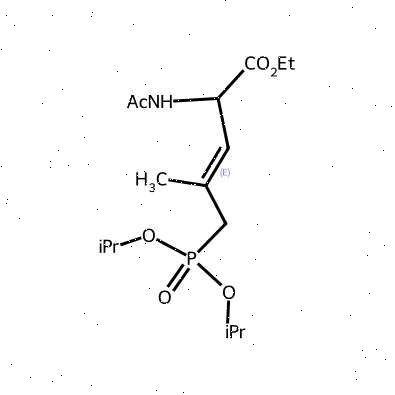 CCOC(=O)C(/C=C(\C)CP(=O)(OC(C)C)OC(C)C)NC(C)=O